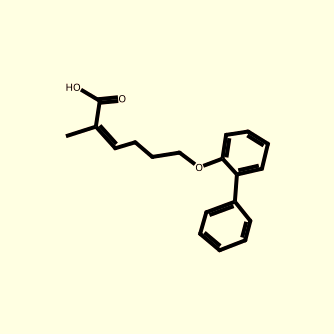 CC(=CCCCOc1ccccc1-c1ccccc1)C(=O)O